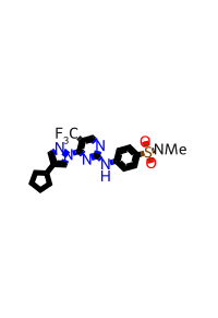 CNS(=O)(=O)c1ccc(Nc2ncc(C(F)(F)F)c(-n3cc(C4CCCC4)cn3)n2)cc1